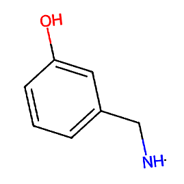 [NH]Cc1cccc(O)c1